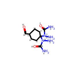 NC(=O)N(N)C1(N(N)C(N)=O)CCC(C=O)CC1